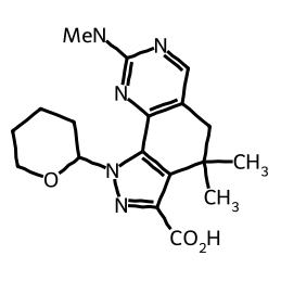 CNc1ncc2c(n1)-c1c(c(C(=O)O)nn1C1CCCCO1)C(C)(C)C2